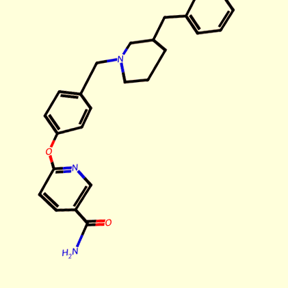 NC(=O)c1ccc(Oc2ccc(CN3CCCC(Cc4ccccc4)C3)cc2)nc1